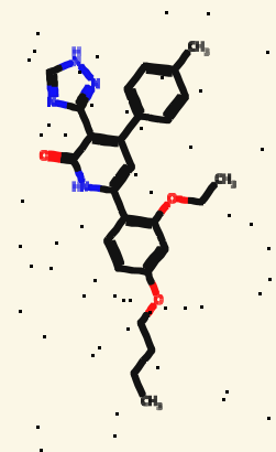 CCCCOc1ccc(-c2cc(-c3ccc(C)cc3)c(-c3nc[nH]n3)c(=O)[nH]2)c(OCC)c1